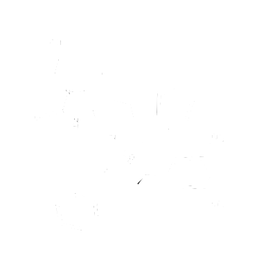 C[C@@H](OC[C@@]1(c2ccccc2)CCC2(CN1C(=O)OCc1ccccc1)NC(=O)N(CCO)C2=O)c1cc(C(F)(F)F)cc(C(F)(F)F)c1